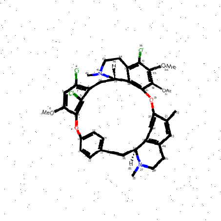 COc1cc(Cl)c2c(Cl)c1Oc1ccc(cc1)C[C@H]1c3cc(c(C)cc3CCN1C)Oc1c(OC(C)=O)c(OC)c(Cl)c3c1[C@H](C2)N(C)CC3